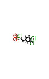 O=S(=O)(Cl)CC=Cc1ccc(Cl)c(Cl)c1